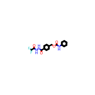 O=C(Nc1ccccc1)OCc1ccc(C(=O)NNC(=O)C(F)F)cc1